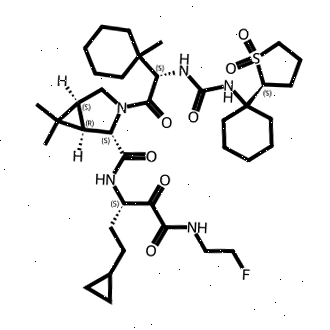 CC1([C@H](NC(=O)NC2([C@@H]3CCCS3(=O)=O)CCCCC2)C(=O)N2C[C@H]3[C@@H]([C@H]2C(=O)N[C@@H](CCC2CC2)C(=O)C(=O)NCCF)C3(C)C)CCCCC1